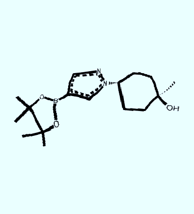 CC1(C)OB(c2cnn([C@H]3CC[C@](C)(O)CC3)c2)OC1(C)C